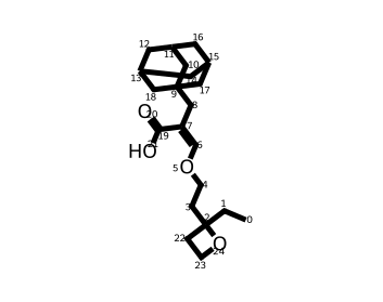 CCC1(CCOC=C(CC23CC4CC(CC(C4)C2)C3)C(=O)O)CCO1